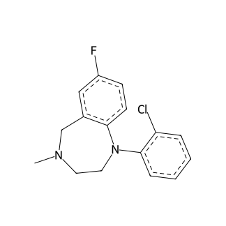 CN1CCN(c2ccccc2Cl)c2ccc(F)cc2C1